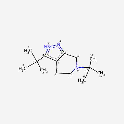 CC(C)(C)c1[nH]nc2c1CCN(C(C)(C)C)C2